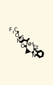 CCn1c([C@@H]2C[C@H]2C(=O)NC(C)c2cnc(OCC(F)(F)F)s2)nc2ccccc21